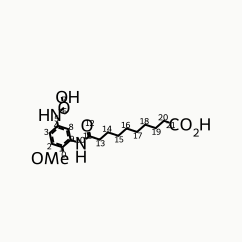 COc1ccc(NOO)cc1NC(=O)CCCCCCCCC(=O)O